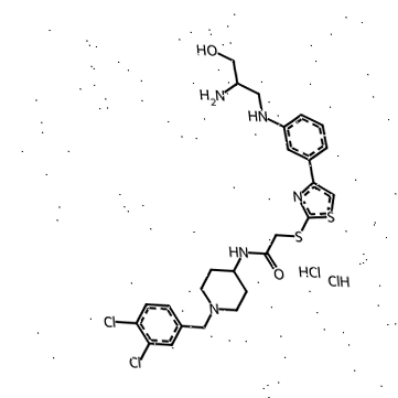 Cl.Cl.NC(CO)CNc1cccc(-c2csc(SCC(=O)NC3CCN(Cc4ccc(Cl)c(Cl)c4)CC3)n2)c1